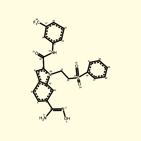 NC(=NO)c1ccc2cc(C(=O)Nc3cccc(C(F)(F)F)c3)n(CCS(=O)(=O)c3ccccc3)c2c1